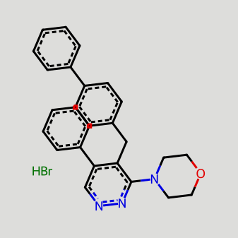 Br.c1ccc(-c2ccc(Cc3c(-c4ccccc4)cnnc3N3CCOCC3)cc2)cc1